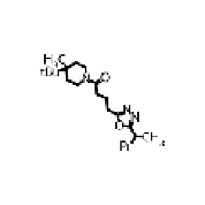 CC(C)C(C)c1nnc(CCCC(=O)N2CCC(C)(C(C)(C)C)CC2)o1